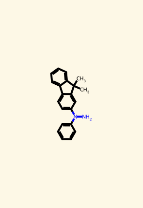 CC1(C)c2ccccc2-c2ccc(N(N)c3ccccc3)cc21